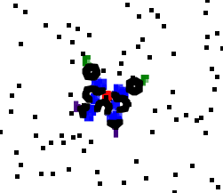 O=C(C(Cn1cc(I)cn1)N1CCCc2c1cnn2-c1ccc(F)cc1)C(Cn1cc(I)cn1)N1CCCc2c1cnn2-c1ccc(F)cc1